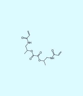 C=CC(=O)NCC(C)OC(=O)C(=O)OC(C)CNC(=O)C=C